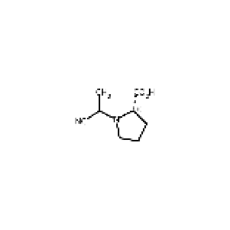 CC(C#N)N1CCC[C@H]1C(=O)O